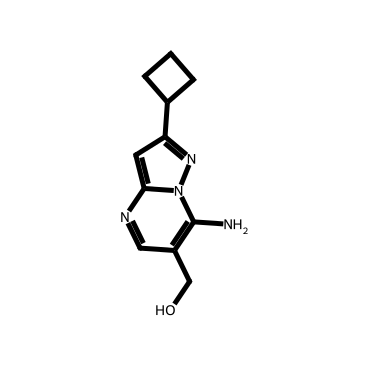 Nc1c(CO)cnc2cc(C3CCC3)nn12